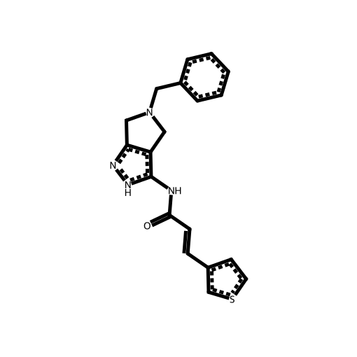 O=C(/C=C/c1ccsc1)Nc1[nH]nc2c1CN(Cc1ccccc1)C2